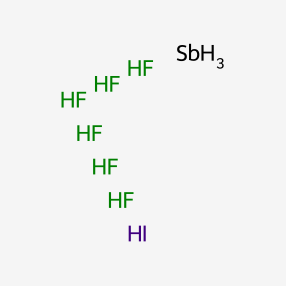 F.F.F.F.F.F.I.[SbH3]